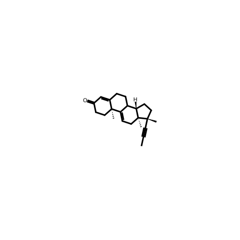 CC#C[C@@]1(C)CC[C@H]2C3CCC4=CC(=O)CC[C@]4(C)C3=CC[C@@]21C